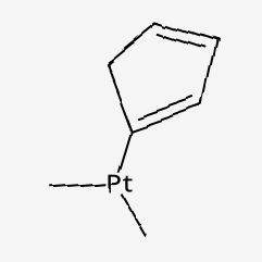 [CH3][Pt]([CH3])[C]1=CC=CC1